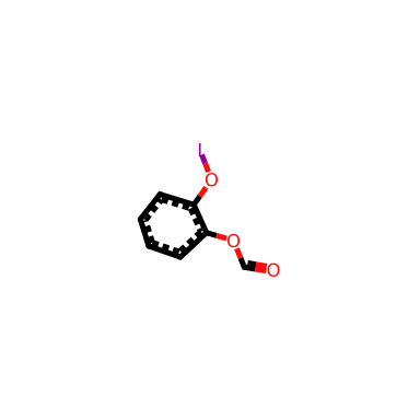 O=COc1ccccc1OI